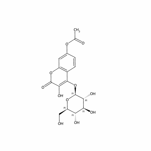 CC(=O)Oc1ccc2c(O[C@@H]3O[C@H](CO)[C@@H](O)[C@H](O)[C@H]3O)c(O)c(=O)oc2c1